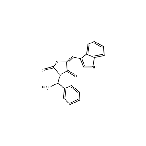 O=C(O)C(c1ccccc1)N1C(=O)/C(=C\c2c[nH]c3ccccc23)SC1=S